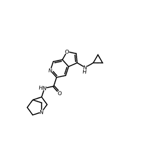 O=C(NC1CN2CCC1C2)c1cc2c(NC3CC3)coc2cn1